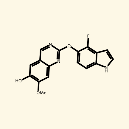 COc1cc2nc(Oc3ccc4[nH]ccc4c3F)ncc2cc1O